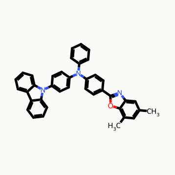 Cc1cc(C)c2oc(-c3ccc(N(c4ccccc4)c4ccc(-n5c6ccccc6c6ccccc65)cc4)cc3)nc2c1